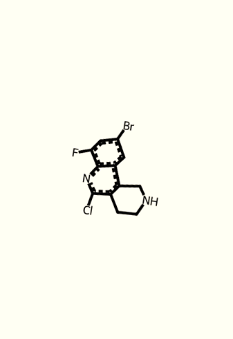 Fc1cc(Br)cc2c3c(c(Cl)nc12)CCNC3